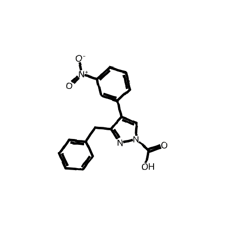 O=C(O)n1cc(-c2cccc([N+](=O)[O-])c2)c(Cc2ccccc2)n1